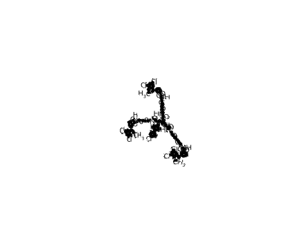 CN1Cc2c(Cl)cc(Cl)cc2[C@H](c2cccc(S(=O)(=O)NCCOCCOCCNC(=O)CCC(CCC(=O)NCCOCCOCCNS(=O)(=O)c3cccc([C@@H]4CN(C)Cc5c(Cl)cc(Cl)cc54)c3)(CCC(=O)NCCOCCOCCNS(=O)(=O)c3cccc([C@@H]4CN(C)Cc5c(Cl)cc(Cl)cc54)c3)NCc3ccc(-c4ccc(Cl)cc4)cc3)c2)C1